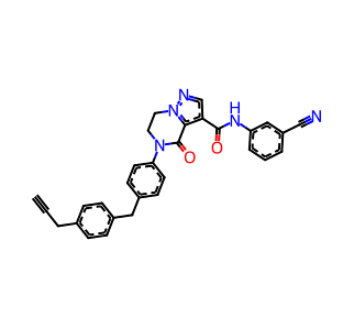 C#CCc1ccc(Cc2ccc(N3CCn4ncc(C(=O)Nc5cccc(C#N)c5)c4C3=O)cc2)cc1